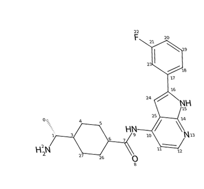 C[C@@H](N)C1CCC(C(=O)Nc2ccnc3[nH]c(-c4cccc(F)c4)cc23)CC1